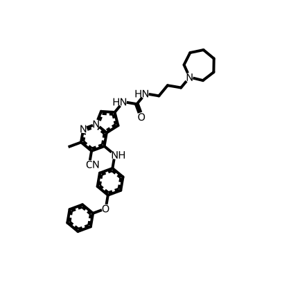 Cc1nn2cc(NC(=O)NCCCN3CCCCCC3)cc2c(Nc2ccc(Oc3ccccc3)cc2)c1C#N